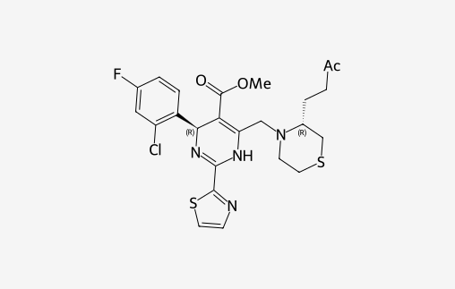 COC(=O)C1=C(CN2CCSC[C@H]2CCC(C)=O)NC(c2nccs2)=N[C@H]1c1ccc(F)cc1Cl